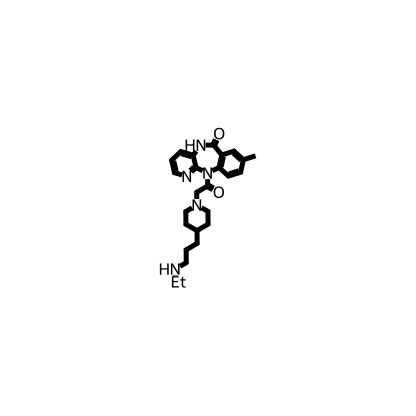 CCNCCCC1CCN(CC(=O)N2c3ccc(C)cc3C(=O)Nc3cccnc32)CC1